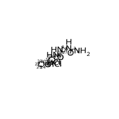 Cl.Cl.NCC(=O)N[C@H]1CN[C@H](C(=O)Nc2ccc(Oc3ccccc3)cc2)C1